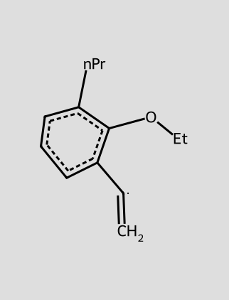 C=[C]c1cccc(CCC)c1OCC